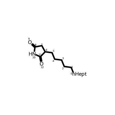 CCCCCCCCCCCCC1CC(=O)NC1=O